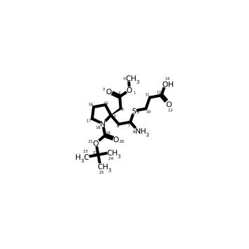 COC(=O)C[C@]1(CC(N)SCCC(=O)O)CCCN1C(=O)OC(C)(C)C